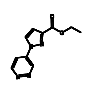 CCOC(=O)c1ccn(-c2ccnnc2)n1